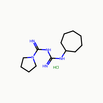 Cl.N=C(NC(=N)N1CCCC1)NC1CCCCCC1